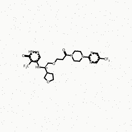 O=C(CCOC[C@H](Nc1cn[nH]c(=O)c1C(F)(F)F)C1CCOC1)N1CCN(c2ncc(C(F)(F)F)cn2)CC1